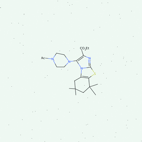 CCOC(=O)c1nc2sc3c(n2c1N1CCN(C(C)=O)CC1)CC(C)(C)CC3(C)C